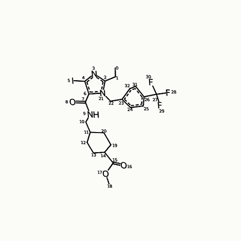 CCc1nc(I)c(C(=O)NCC2CCC(C(=O)OC)CC2)n1Cc1ccc(C(F)(F)F)cc1